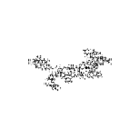 Cc1c(C)c(S(=O)(=O)NC(=N)NCCC[C@H](NC(=O)CNC(=O)[C@H](CSC(c2ccccc2)(c2ccccc2)c2ccccc2)NC(=O)CNC(=O)[C@H](COC(C)(C)C)NC(=O)[C@@H](NC(=O)[C@H](Cc2ccccc2)NC(=O)[C@@H](NC(=O)[C@@H](NC(=O)OCC2c3ccccc3-c3ccccc32)[C@@H](C)OC(C)(C)C)C(C)C)[C@@H](C)OC(C)(C)C)C(=O)N[C@@H](C)C(=O)N[C@H](C(=O)O)[C@@H](C)OC(C)(C)C)c(C)c2c1OC(C)(C)C2